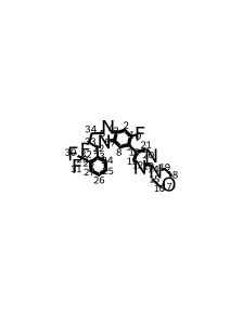 Fc1cc2nc3n(c2cc1-c1cnc(N2CCOCC2)nc1)C(c1ccccc1C(F)(F)F)CC3